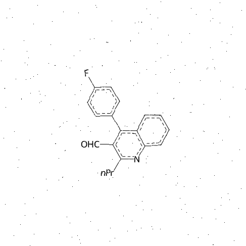 CCCc1nc2ccccc2c(-c2ccc(F)cc2)c1C=O